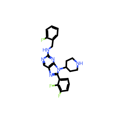 Fc1ccccc1CNc1ncc2nc(-c3cccc(F)c3F)n(C3CCNCC3)c2n1